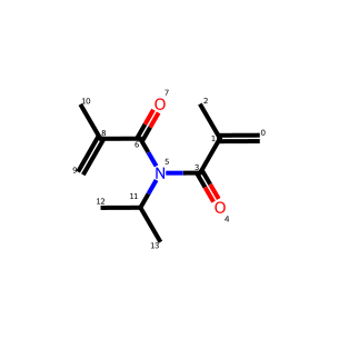 C=C(C)C(=O)N(C(=O)C(=C)C)C(C)C